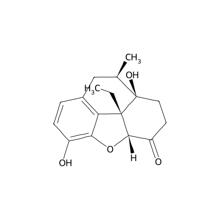 CC[C@]12c3c4ccc(O)c3O[C@H]1C(=O)CC[C@@]2(O)[C@H](C)C4